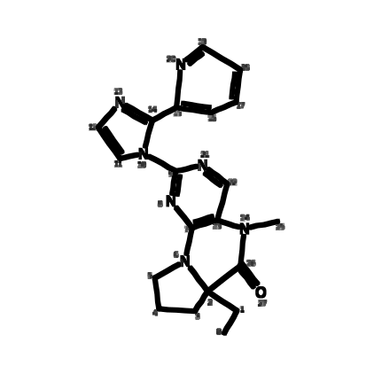 CCC12CCCN1c1nc(-n3ccnc3-c3ccccn3)ncc1N(C)C2=O